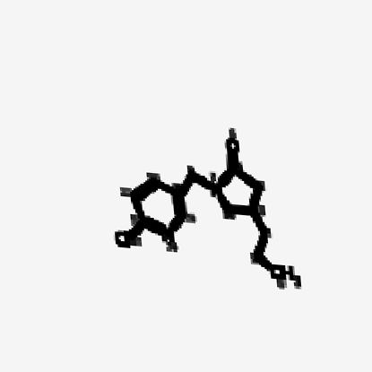 CCCC1CC(=O)N(Cc2ccc(Cl)nc2)C1